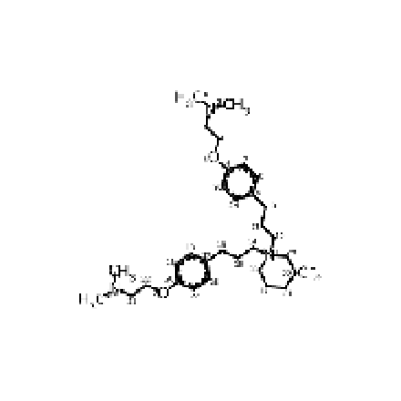 CN(C)CCOc1ccc(CCC[N+]2(CCCc3ccc(OCCN(C)C)cc3)CCCCC2)cc1.[Cl-]